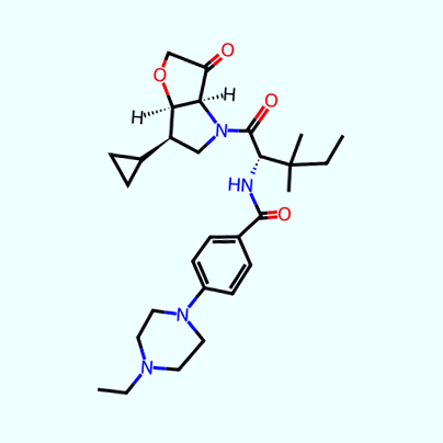 CCN1CCN(c2ccc(C(=O)N[C@H](C(=O)N3C[C@@H](C4CC4)[C@H]4OCC(=O)[C@H]43)C(C)(C)CC)cc2)CC1